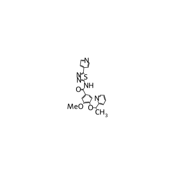 COc1cc(C(=O)Nc2nnc(-c3ccncc3)s2)ccc1OC(C)c1ccccn1